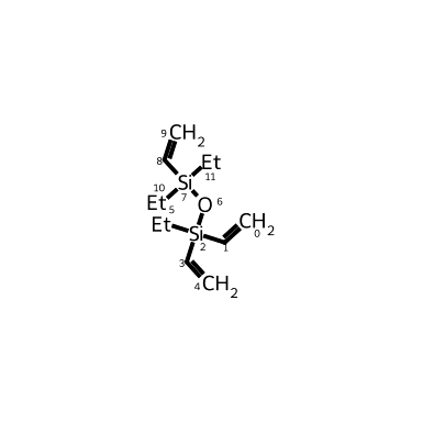 C=C[Si](C=C)(CC)O[Si](C=C)(CC)CC